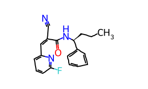 CCC[C@H](NC(=O)C(C#N)=Cc1cccc(F)n1)c1ccccc1